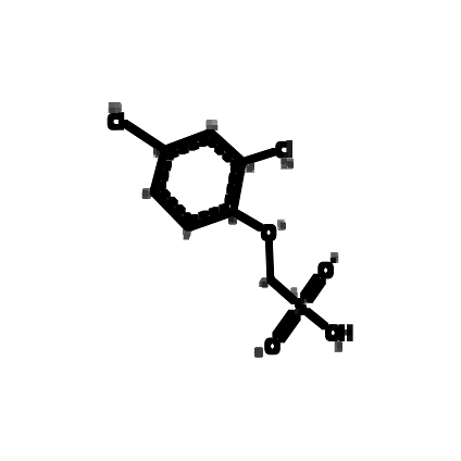 O=S(=O)(O)COc1ccc(Cl)cc1Cl